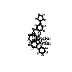 CC(C)(C)OC(=O)N1C2CC3CC1[C@H](O[Si](c1ccccc1)(c1ccccc1)C(C)(C)C)C2N(Cc1cccc(C2CCCC2)c1)C3